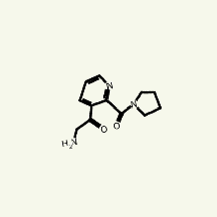 NCC(=O)c1cccnc1C(=O)N1CCCC1